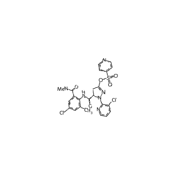 CNC(=O)c1cc(Cl)cc(C)c1NC(=O)C1CC(OS(=O)(=O)c2ccncc2)=NN1c1ncccc1Cl